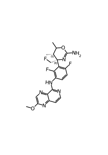 COc1cnc2c(Nc3ccc(F)c([C@]4(CF)N=C(N)OC(C)[C@H]4C)c3F)nccc2n1